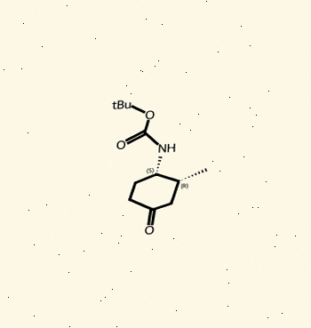 C[C@@H]1CC(=O)CC[C@@H]1NC(=O)OC(C)(C)C